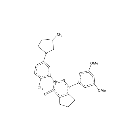 COc1cc(OC)cc(-c2nn(-c3cc(N4CCC(C(F)(F)F)C4)ccc3C(F)(F)F)c(=O)c3c2CCC3)c1